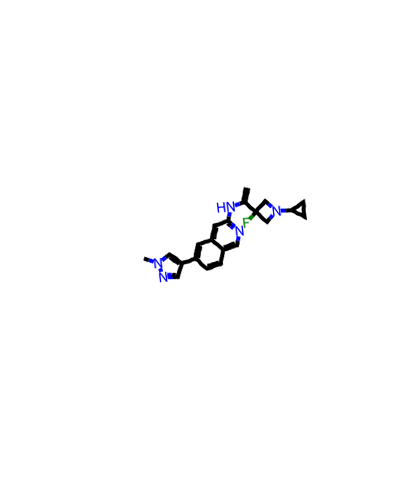 C=C(Nc1cc2cc(-c3cnn(C)c3)ccc2cn1)C1(F)CN(C2CC2)C1